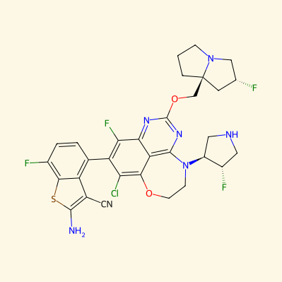 N#Cc1c(N)sc2c(F)ccc(-c3c(Cl)c4c5c(nc(OC[C@@]67CCCN6C[C@H](F)C7)nc5c3F)N([C@H]3CNC[C@@H]3F)CCO4)c12